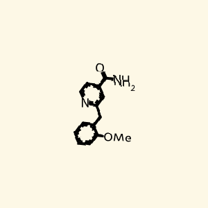 COc1ccccc1Cc1cc(C(N)=O)ccn1